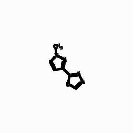 Cn1ccc(-c2nnco2)n1